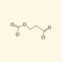 O=C(Cl)CCOC(=O)Cl